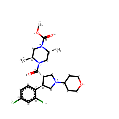 C[C@@H]1CN(C(=O)[C@@H]2CN(C3CCOCC3)C[C@H]2c2ccc(Cl)cc2F)[C@@H](C)CN1C(=O)OC(C)(C)C